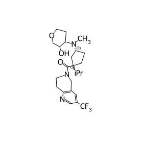 CC(C)[C@]1(C(=O)N2CCc3ncc(C(F)(F)F)cc3C2)CC[C@@H](N(C)C2CCOCC2O)C1